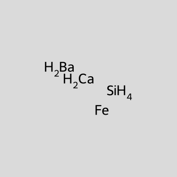 [BaH2].[CaH2].[Fe].[SiH4]